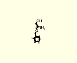 NC(CO)COCc1ccccc1